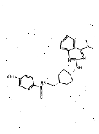 CCCCCCCCc1ccc(C(=O)NC[C@H]2CC[C@@H](Nc3nc(N(C)C)c4ccccc4n3)CC2)cc1